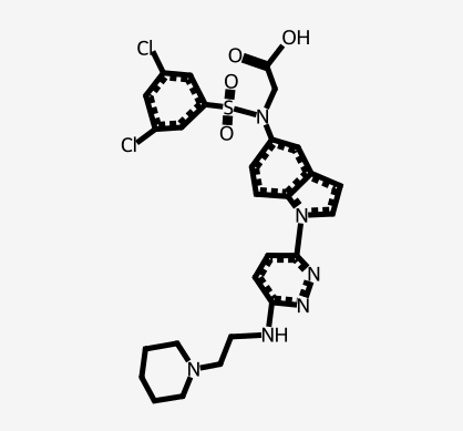 O=C(O)CN(c1ccc2c(ccn2-c2ccc(NCCN3CCCCC3)nn2)c1)S(=O)(=O)c1cc(Cl)cc(Cl)c1